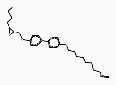 C=CCCCCCCCCOc1ccc(-c2ccc(OC[C@@H]3O[C@H]3CCCC)cc2)nc1